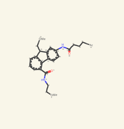 COCCNC(=O)c1cccc2c1-c1ccc(NC(=O)CCCC(C)=O)cc1C2COC